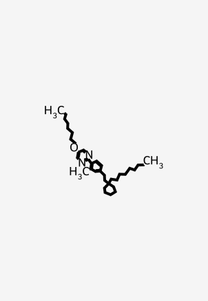 CCCCCCCCCC1(CCc2ccc(-c3ncc(OCCCCCCCC)cn3)c(C)c2)CCCCC1